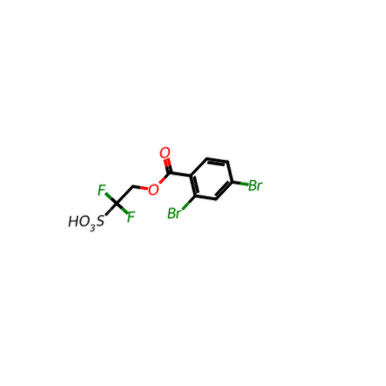 O=C(OCC(F)(F)S(=O)(=O)O)c1ccc(Br)cc1Br